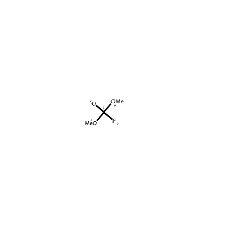 COC([O])(F)OC